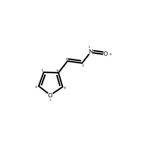 O=N/C=C/c1ccoc1